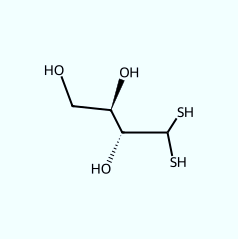 OC[C@@H](O)[C@@H](O)C(S)S